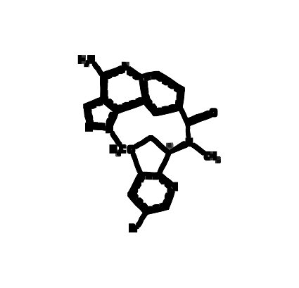 CN(C(=O)c1ccc2nc(N)c3cnn(C)c3c2c1)[C@@H]1COc2cc(Br)cnc21